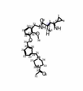 CN/C(=C\C(=N)C1CC1)C(=O)NCc1cccc(OCc2cccc(CN3CCN(C(C)=O)CC3)c2)c1OC